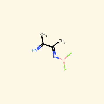 CC(=N)/C(C)=N/B(F)F